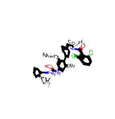 COc1cc(NC(=O)Nc2ccccc2C)cc(OC)c1-c1ccc(C[C@H](NC(=O)c2c(Cl)cccc2Cl)C(=O)O)cc1